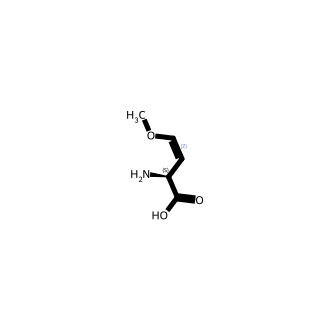 CO/C=C\[C@H](N)C(=O)O